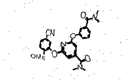 COc1ccc(C#N)cc1Oc1cc(C(=O)N(C)C)cc(Oc2cccc(C(=O)N(C)C)c2)n1